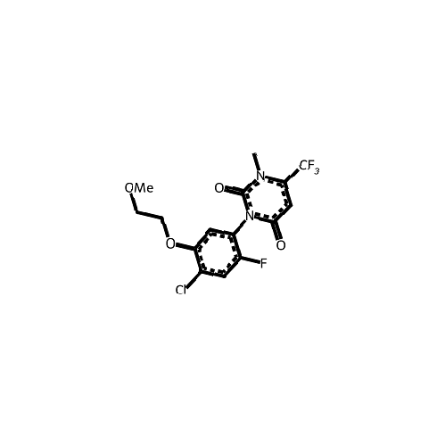 COCCOc1cc(-n2c(=O)cc(C(F)(F)F)n(C)c2=O)c(F)cc1Cl